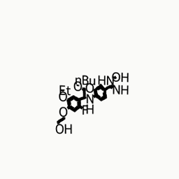 CCCCOC(=O)[C@H](Nc1ccc(C(=N)NO)cc1)c1cc(OCC)c(OCCO)cc1F